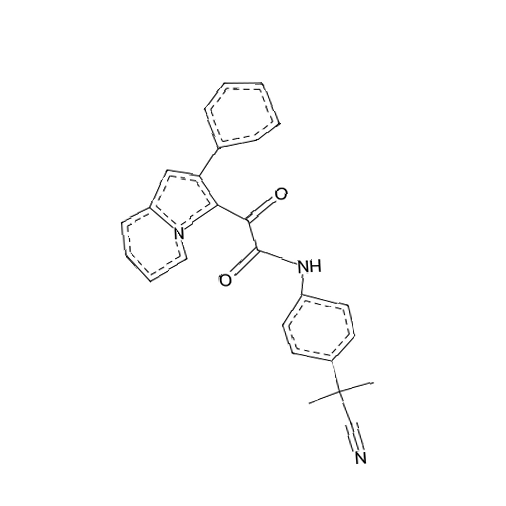 CC(C)(C#N)c1ccc(NC(=O)C(=O)c2c(-c3ccccc3)cc3ccccn23)cc1